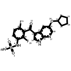 CCCS(=O)(=O)Nc1ccc(F)c(C(=O)c2c[nH]c3ncc(OC4CCCC4)cc23)c1F